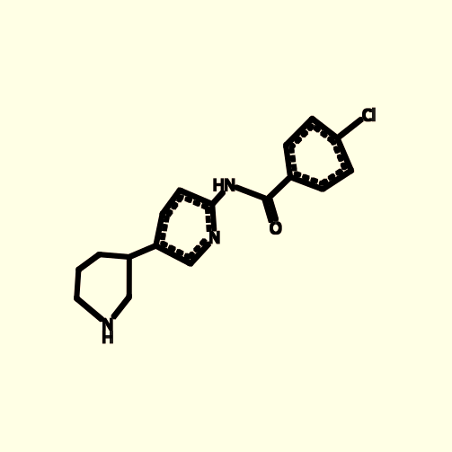 O=C(Nc1ccc(C2CCCNC2)cn1)c1ccc(Cl)cc1